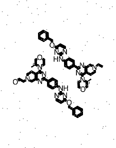 CCN1CCc2c(nc(-c3ccc(Nc4nccc(OCc5ccccc5)n4)cc3)nc2N2CCOC[C@@H]2C)C1.C[C@H]1COCCN1c1nc(-c2ccc(Nc3nccc(OCc4ccccc4)n3)cc2)nc2c1CCN(CC=O)C2